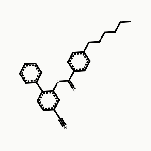 CCCCCCc1ccc(C(=O)Oc2cc(C#N)ccc2-c2ccccc2)cc1